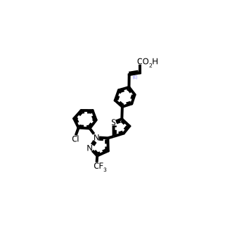 O=C(O)/C=C/c1ccc(-c2ccc(-c3cc(C(F)(F)F)nn3-c3ccccc3Cl)s2)cc1